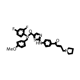 COc1ccc(CN(C(=O)c2cnc(Nc3ccc(C(=O)C=CCN4CCCC4)cc3)s2)c2ccc(F)cc2F)cc1